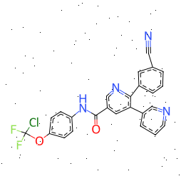 N#Cc1cccc(-c2ncc(C(=O)Nc3ccc(OC(F)(F)Cl)cc3)cc2-c2cccnc2)c1